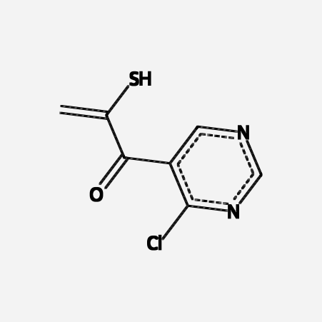 C=C(S)C(=O)c1cncnc1Cl